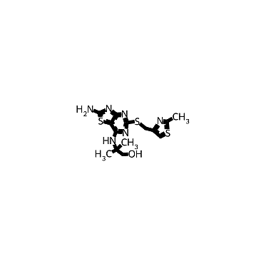 Cc1nc(CSc2nc(NC(C)(C)CO)c3sc(N)nc3n2)cs1